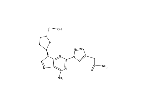 NC(=O)Cc1cnn(-c2nc(N)c3ncn([C@H]4CC[C@H](CO)O4)c3n2)c1